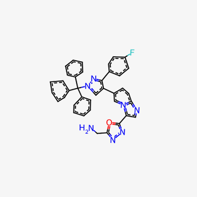 NCc1nnc(-c2cnc3ccc(-c4cn(C(c5ccccc5)(c5ccccc5)c5ccccc5)nc4-c4ccc(F)cc4)cn23)o1